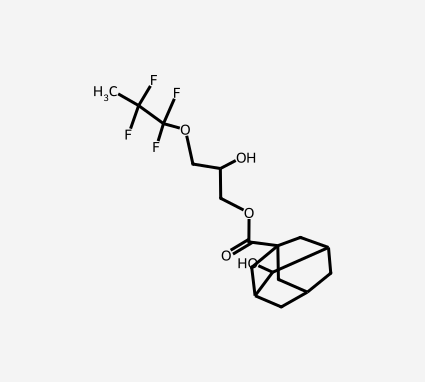 CC(F)(F)C(F)(F)OCC(O)COC(=O)C12CC3CC(C1)C(O)C(C3)C2